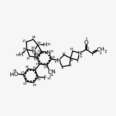 C=CC(=O)N1CC2(CCN(c3nc4c(c(-c5cc(O)ccc5F)c3C#N)C[C@@H]3CC[C@H]4N3C(C)C)C2)C1